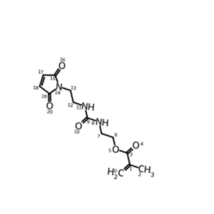 C=C(C)C(=O)OCCNC(=O)NCCN1C(=O)C=CC1=O